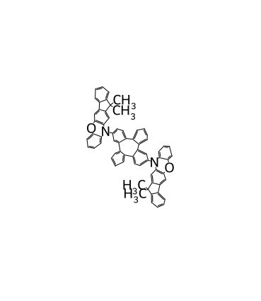 CC1(C)c2ccccc2-c2cc3c(cc21)N(c1ccc2c(c1)-c1ccccc1-c1ccc(N4c5ccccc5Oc5cc6c(cc54)C(C)(C)c4ccccc4-6)cc1-c1ccccc1-2)c1ccccc1O3